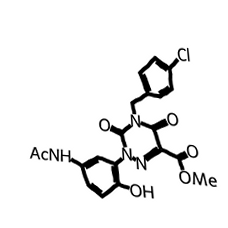 COC(=O)c1nn(-c2cc(NC(C)=O)ccc2O)c(=O)n(Cc2ccc(Cl)cc2)c1=O